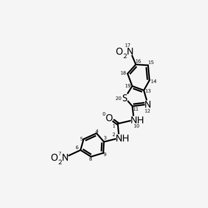 O=C(Nc1ccc([N+](=O)[O-])cc1)Nc1nc2ccc([N+](=O)[O-])cc2s1